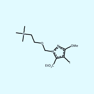 CCOC(=O)c1c(I)c(OC)nn1COCC[Si](C)(C)C